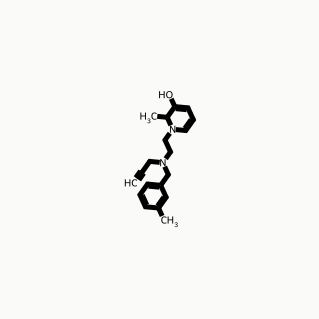 C#CCN(CCN1C=CC=C(O)C1C)Cc1cccc(C)c1